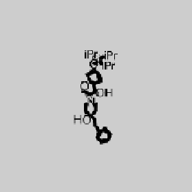 CC(C)[Si](Oc1ccc2c(c1)OC[C@@H](N1CCC(O)(CCc3ccccc3)CC1)[C@H]2O)(C(C)C)C(C)C